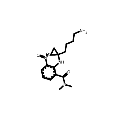 CN(C)C(=O)c1cccc([N+](=O)[O-])c1NC1(CCCCN)CC1